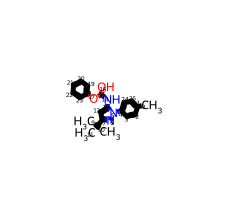 Cc1ccc(-n2nc(C(C)(C)C)cc2NC(O)Oc2ccccc2)cc1